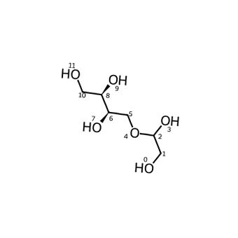 OCC(O)OC[C@@H](O)[C@H](O)CO